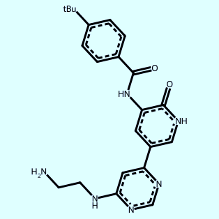 CC(C)(C)c1ccc(C(=O)Nc2cc(-c3cc(NCCN)ncn3)c[nH]c2=O)cc1